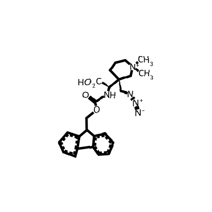 C[N+]1(C)CCC[C@@](CN=[N+]=[N-])([C@@H](NC(=O)OCC2c3ccccc3-c3ccccc32)C(=O)O)C1